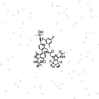 CC(=O)Nc1nn(CC(=O)N[C@@H](Cc2cc(F)cc(F)c2)c2nc(C#CC(C)(C)O)ccc2-c2ccc(Cl)c3c(NS(C)(=O)=O)nn(C)c23)c2c1[C@H]1C#C[C@H]1C2(F)F